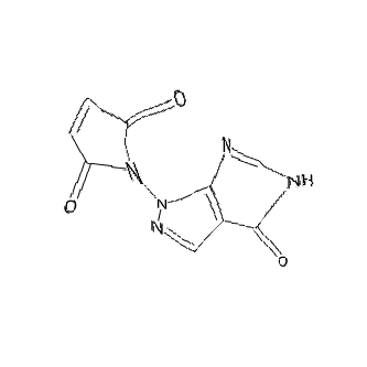 O=C1C=CC(=O)N1n1ncc2c(=O)[nH]cnc21